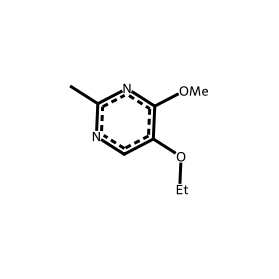 CCOc1cnc(C)nc1OC